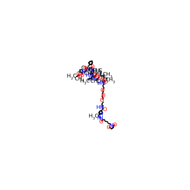 C=C(C)C(=O)O[C@@H]1CC(C)N([C@@H](C)C(=O)N(C)[C@H](Cc2ccccc2)C(=O)N(C)CC(=O)N[C@H](C(=O)N[C@H](C)C(=O)O[C@H](/C(C)=C/C)[C@@H](C)[C@H](CC)OC(=O)NCCCOCCOCCOCCCNC(=O)c2ccc(/C(C)=N\NC(=O)CCCCCN3C(=O)C=CC3=O)cc2)[C@H](C)CC)C1=O